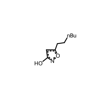 CCCCCCc1cc(O)no1